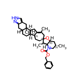 CC1=C2C[C@H]3[C@@H](CC[C@@H]4Cc5n[nH]cc5C[C@@]43C)[C@@H]2CC[C@@]2(C1)O[C@@H]1C[C@H](C)CN(C(=O)OCc3ccccc3)[C@H]1[C@H]2C